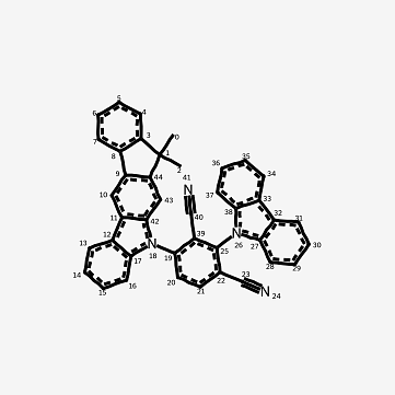 CC1(C)c2ccccc2-c2cc3c4ccccc4n(-c4ccc(C#N)c(-n5c6ccccc6c6ccccc65)c4C#N)c3cc21